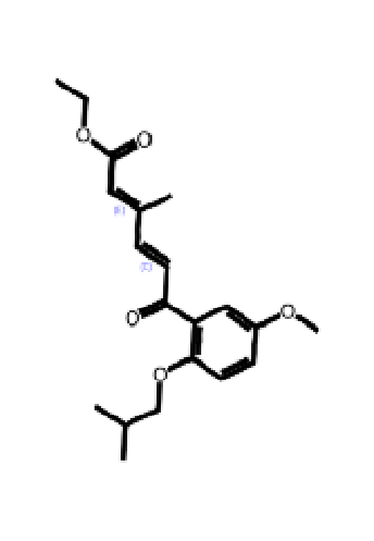 CCOC(=O)/C=C(C)/C=C/C(=O)c1cc(OC)ccc1OCC(C)C